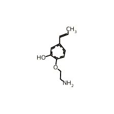 C/C=C/c1ccc(OCCN)c(O)c1